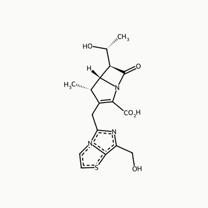 C[C@@H](O)[C@H]1C(=O)N2C(C(=O)O)=C(Cc3nc(CO)c4sccn34)[C@H](C)[C@H]12